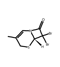 CC1=CN2C(=O)C(Br)(Br)[C@@H]2SC1